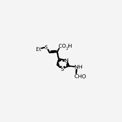 CCSC=C(C(=O)O)c1csc(NC=O)n1